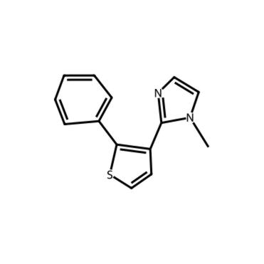 Cn1ccnc1-c1ccsc1-c1ccccc1